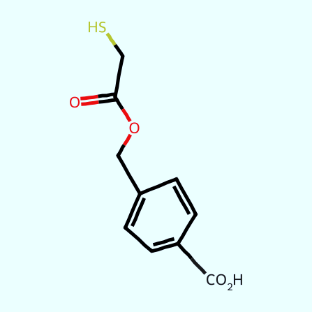 O=C(CS)OCc1ccc(C(=O)O)cc1